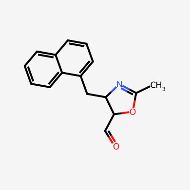 CC1=NC(Cc2cccc3ccccc23)C(C=O)O1